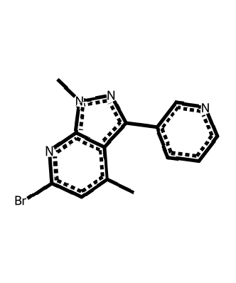 Cc1cc(Br)nc2c1c(-c1cccnc1)nn2C